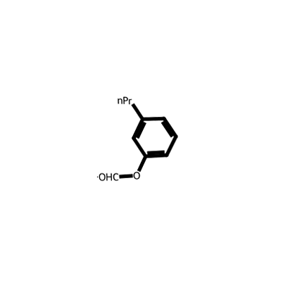 CCCc1cccc(O[C]=O)c1